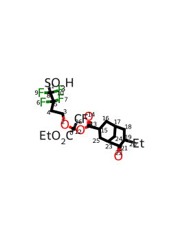 CCOC(=O)C(OCCC(F)(F)C(F)(F)S(=O)(=O)O)(OC(=O)C1CC2CC(CC)C(=O)C(C2)C1)C(F)(F)F